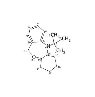 CC(C)(C)N1c2ccccc2COC2CCCCC21